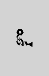 C(=C\[C@@H]1CN(Cc2ccccc2)CCN1)/C1CC1